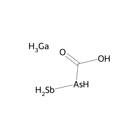 O=C(O)[AsH][SbH2].[GaH3]